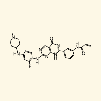 C=CC(=O)Nc1cccc(-c2nc(=O)c3cnc(Nc4ccc(NC5CCN(C)CC5)cc4F)nc3[nH]2)c1